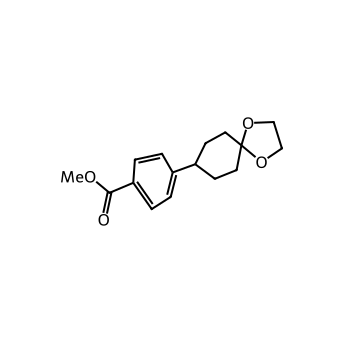 COC(=O)c1ccc(C2CCC3(CC2)OCCO3)cc1